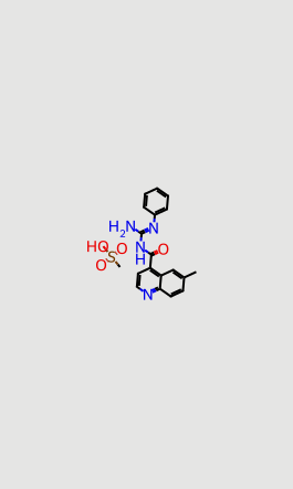 CS(=O)(=O)O.Cc1ccc2nccc(C(=O)NC(N)=Nc3ccccc3)c2c1